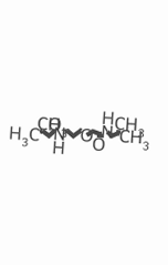 CC(C)CNC(=O)COCCCNC(=O)CC(C)C